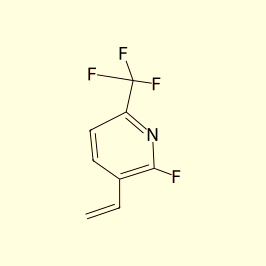 C=Cc1ccc(C(F)(F)F)nc1F